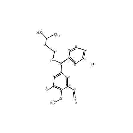 COc1c(Cl)cc(P(OCCC(C)C)c2ccccc2)cc1C=O.[LiH]